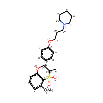 COc1cccc2c1S(O)(O)[C@H](C)[C@@H](c1ccc(OCCCN3CCCCC3)cc1)O2